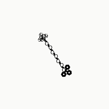 C[Si](C)(C)O[Si](CCCOCCOCCOCCOCCOCCOCCOC(c1ccccc1)(c1ccccc1)c1ccccc1)(O[Si](C)(C)C)O[Si](C)(C)C